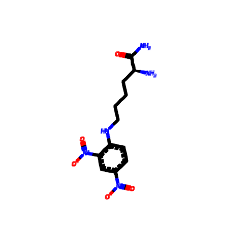 NC(=O)[C@@H](N)CCCCNc1ccc([N+](=O)[O-])cc1[N+](=O)[O-]